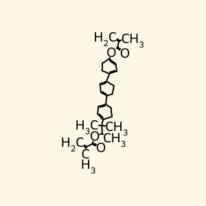 C=C(C)C(=O)OC1=CC=C(C2=CC=C(C3=CC=C(C(C)(C)C(C)OC(=O)C(=C)C)CC3)CC2)CC1